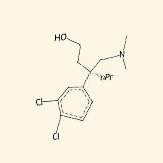 CCC[C@](CCO)(CN(C)C)c1ccc(Cl)c(Cl)c1